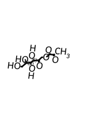 CC(=O)C(=O)OCC(=O)[C@@H](O)[C@H](O)[C@H](O)CO